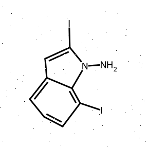 Nn1c(I)cc2cccc(I)c21